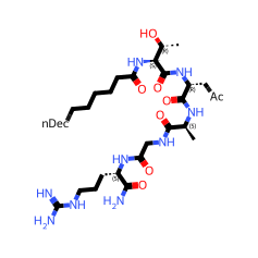 CCCCCCCCCCCCCCCC(=O)N[C@H](C(=O)N[C@H](CC(C)=O)C(=O)N[C@@H](C)C(=O)NCC(=O)N[C@@H](CCCNC(=N)N)C(N)=O)[C@@H](C)O